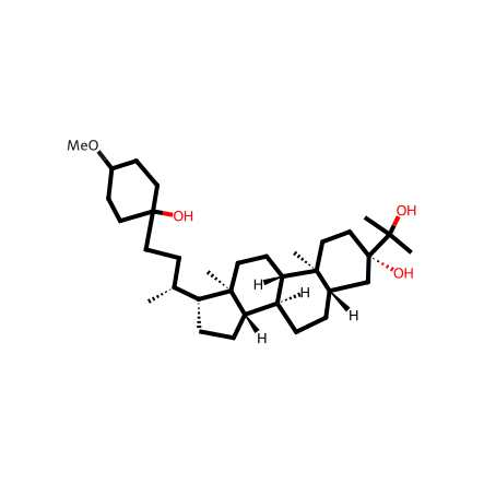 COC1CCC(O)(CC[C@@H](C)[C@H]2CC[C@H]3[C@@H]4CC[C@H]5C[C@](O)(C(C)(C)O)CC[C@]5(C)[C@H]4CC[C@]23C)CC1